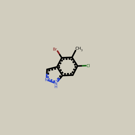 Cc1c(Cl)cc2[nH]ncc2c1Br